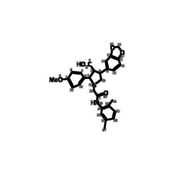 COc1ccc(C2C(C(=O)O)C(c3ccc4c(c3)OCO4)CN2CC(=O)Nc2cc(C)ccc2C)cc1